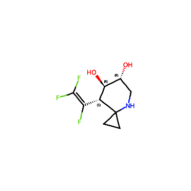 O[C@H]1[C@H](O)CNC2(CC2)[C@@H]1C(F)=C(F)F